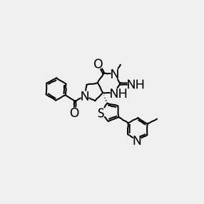 Cc1cncc(-c2csc([C@]34CN(C(=O)c5ccccc5)CC3C(=O)N(C)C(=N)N4)c2)c1